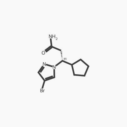 NC(=O)C[C@H](C1CCCC1)n1cc(Br)cn1